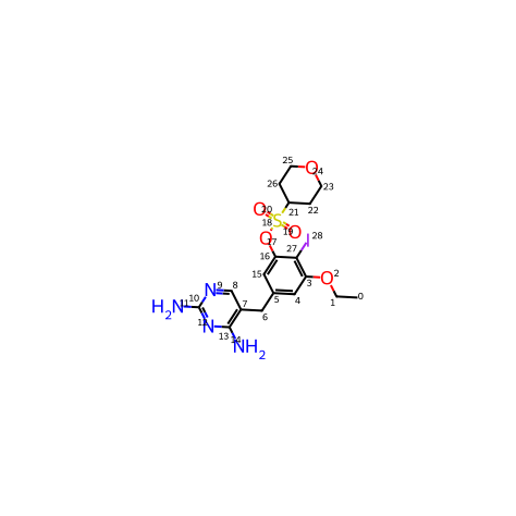 CCOc1cc(Cc2cnc(N)nc2N)cc(OS(=O)(=O)C2CCOCC2)c1I